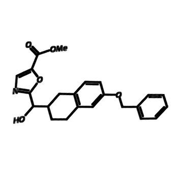 COC(=O)c1cnc(C(O)C2CCc3cc(OCc4ccccc4)ccc3C2)o1